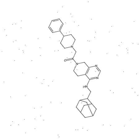 O=C(CN1CCC(c2ccccc2)CC1)N1CCc2c(ncnc2NCC2C3CC4CC(C3)CC2C4)C1